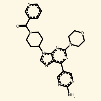 Nc1ncc(-c2nc(N3CCOCC3)nc3c2ncn3C2CCN(C(=O)c3cccnc3)CC2)cn1